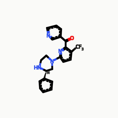 O=C(c1cccnc1)c1nc(N2CCN[C@@H](c3ccccc3)C2)ccc1C(F)(F)F